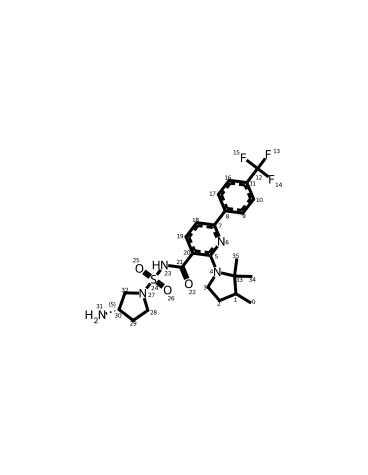 CC1CCN(c2nc(-c3ccc(C(F)(F)F)cc3)ccc2C(=O)NS(=O)(=O)N2CC[C@H](N)C2)C1(C)C